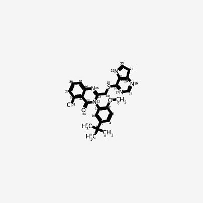 COc1ccc(C(C)(C)C)cc1-n1c(CSc2ncnc3c2N=CC3)nc2cccc(Cl)c2c1=O